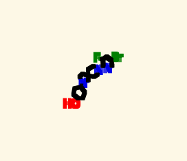 O[C@H]1CC[C@@H](N2CCC3(CCN(c4ncc(Br)cc4F)CC3)C2)CC1